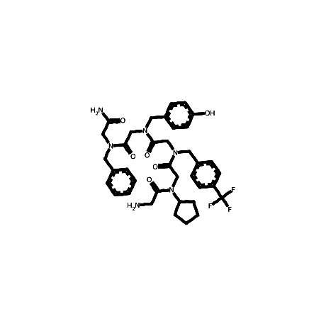 NCC(=O)N(CC(=O)N(CC(=O)N(CC(=O)N(CC(N)=O)Cc1ccccc1)Cc1ccc(O)cc1)Cc1ccc(C(F)(F)F)cc1)C1CCCC1